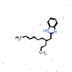 CCCCCCC(CCC)Cc1nc2ccccc2[nH]1